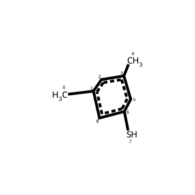 Cc1cc(C)cc(S)c1